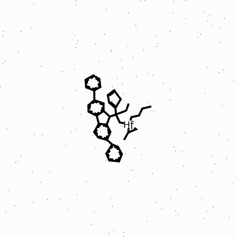 CCC[CH2][Hf]1([CH2]C(CC)(C2=CC=CC2)C2c3cc(-c4ccccc4)ccc3-c3ccc(-c4ccccc4)cc32)[CH2][CH]1C